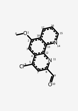 COc1cc2c(Cl)cc(C=O)nc2c2ncccc12